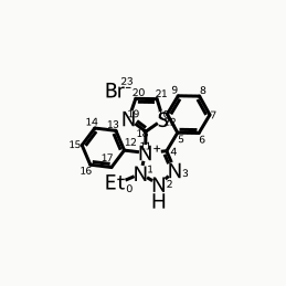 CCN1NN=C(c2ccccc2)[N+]1(c1ccccc1)c1nccs1.[Br-]